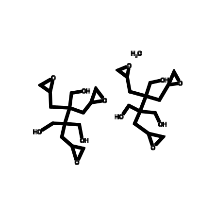 O.OCC(CO)(CC1CO1)C(CO)(CC1CO1)CC1CO1.OCC(CO)(CC1CO1)C(CO)(CC1CO1)CC1CO1